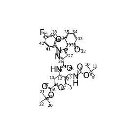 CC[C@H](CNC(=O)OC(C)(C)C)C(CC(=O)C(=O)OC(C)(C)C)NC(=O)c1cc(-c2c(OC)cccc2OC)n(-c2ccc(F)cc2)n1